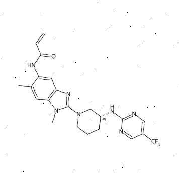 C=CC(=O)Nc1cc2nc(N3CCC[C@@H](Nc4ncc(C(F)(F)F)cn4)C3)n(C)c2cc1C